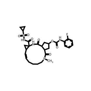 CN1CCCC/C=C\C2CC2(C(=O)NS(=O)(=O)C2CC2)NC(=O)C2CC(OC(=O)Nc3ccccc3F)CC2C1=O